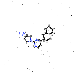 N[C@H]1CCN(c2nccc(-c3ccc4ccccc4c3)n2)C1